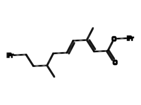 CC(C=CCC(C)CCC(C)C)=CC(=O)OC(C)C